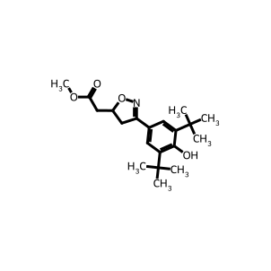 COC(=O)CC1CC(c2cc(C(C)(C)C)c(O)c(C(C)(C)C)c2)=NO1